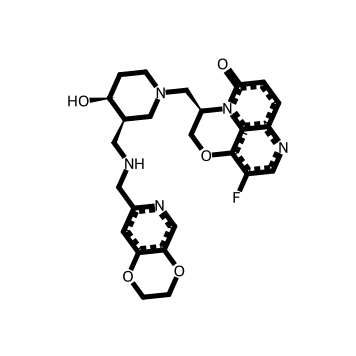 O=c1ccc2ncc(F)c3c2n1[C@H](CN1CC[C@H](O)[C@H](CNCc2cc4c(cn2)OCCO4)C1)CO3